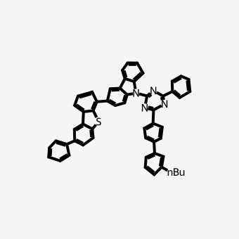 CCCCc1cccc(-c2ccc(-c3nc(-c4ccccc4)nc(-n4c5ccccc5c5cc(-c6cccc7c6sc6ccc(-c8ccccc8)cc67)ccc54)n3)cc2)c1